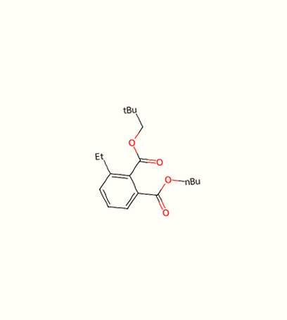 CCCCOC(=O)c1cccc(CC)c1C(=O)OCC(C)(C)C